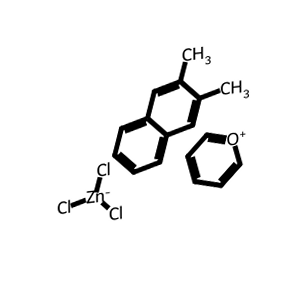 Cc1cc2ccccc2cc1C.[Cl][Zn-]([Cl])[Cl].c1cc[o+]cc1